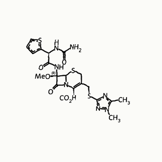 CO[C@]1(NC(=O)C(NC(N)=O)c2cccs2)C(=O)N2C(C(=O)O)=C(CSc3nc(C)n(C)n3)CSC21